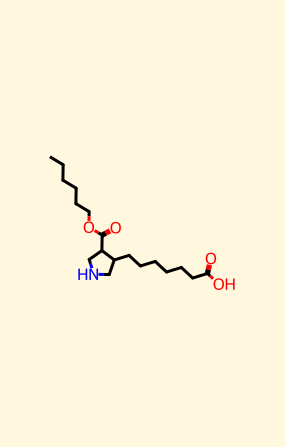 CCCCCCOC(=O)C1CNCC1CCCCCCC(=O)O